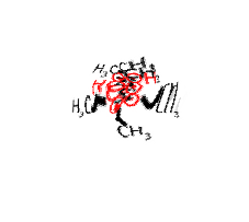 CCCCO[Si](OCCCC)(OCCCC)[O][Zr]([OH])([OH])[O]C(C)(C)C